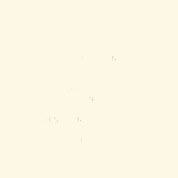 CC(C)CN(CC1CC1)[C@H](C(N)=O)C(=O)Nc1ccc(N2CCOCC2=O)c(C(F)(F)F)c1